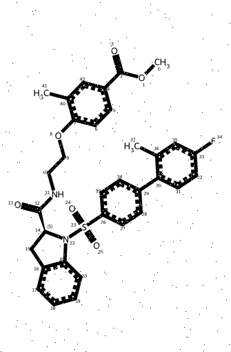 COC(=O)c1ccc(OCCNC(=O)[C@@H]2Cc3ccccc3N2S(=O)(=O)c2ccc(-c3ccc(F)cc3C)cc2)c(C)c1